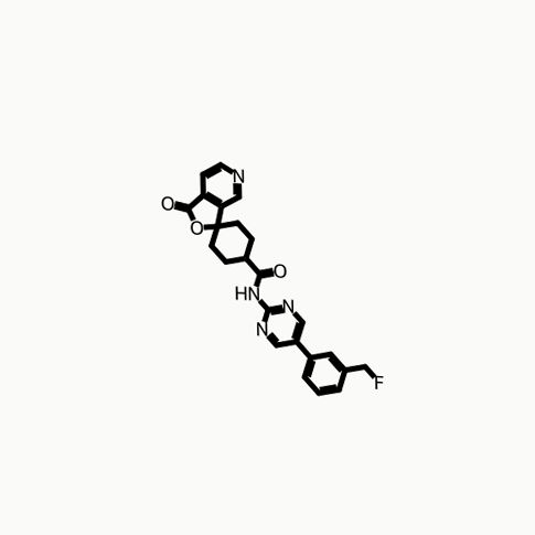 O=C1OC2(CCC(C(=O)Nc3ncc(-c4cccc(CF)c4)cn3)CC2)c2cnccc21